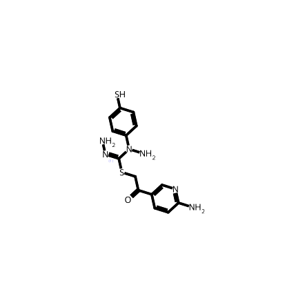 N/N=C(/SCC(=O)c1ccc(N)nc1)N(N)c1ccc(S)cc1